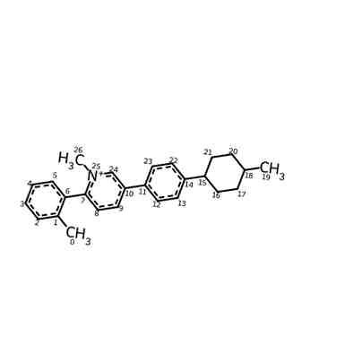 Cc1ccccc1-c1ccc(-c2ccc(C3CCC(C)CC3)cc2)c[n+]1C